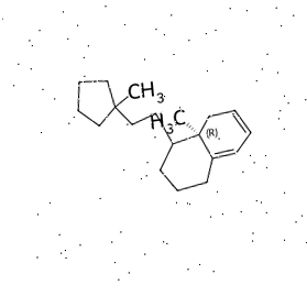 CC1(CCC2CCCC3=CC=CC[C@@]32C)CCCC1